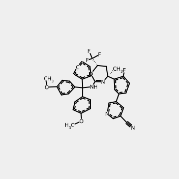 COc1ccc(C(NC2=N[C@](C)(c3cc(-c4cncc(C#N)c4)ccc3F)C[C@@H](C(F)(F)F)O2)(c2ccccc2)c2ccc(OC)cc2)cc1